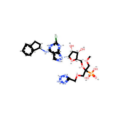 COCC(COCc1nn[nH]n1)(OC[C@H]1O[C@H](n2ncc3c(N[C@@H]4CCc5ccccc54)nc(Cl)nc32)[C@H](O)[C@@H]1O)P(=O)(O)O